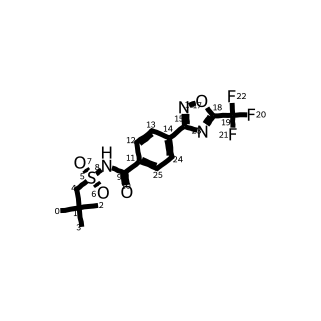 CC(C)(C)CS(=O)(=O)NC(=O)c1ccc(-c2noc(C(F)(F)F)n2)cc1